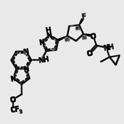 CC1(NC(=O)O[C@H]2C[C@@H](c3cc(Nc4nccc5nc(COC(F)(F)F)cn45)n[nH]3)C[C@H]2F)CC1